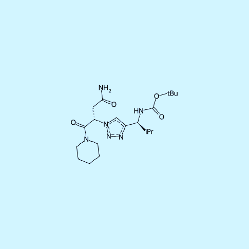 CC(C)[C@H](NC(=O)OC(C)(C)C)c1cn([C@@H](CC(N)=O)C(=O)N2CCCCC2)nn1